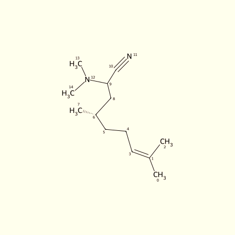 CC(C)=CCC[C@H](C)CC(C#N)N(C)C